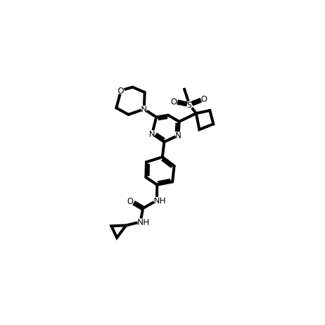 CS(=O)(=O)C1(c2cc(N3CCOCC3)nc(-c3ccc(NC(=O)NC4CC4)cc3)n2)CCC1